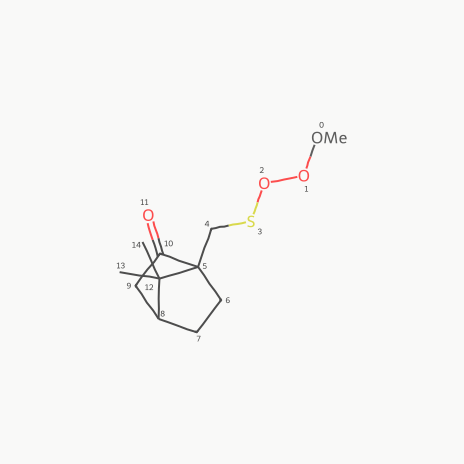 COOOSCC12CCC(CC1=O)C2(C)C